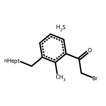 CCCCCCCCc1cccc(C(=O)CBr)c1C.S